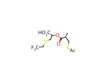 CC(=O)SC[C@H](C)C(=O)OC(CSCC(F)(F)F)C(=O)O